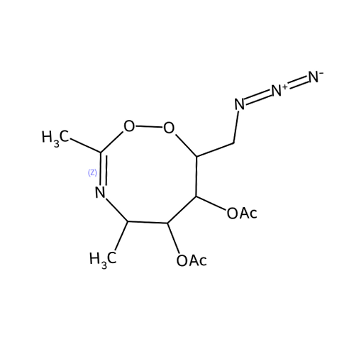 CC(=O)OC1C(C)/N=C(/C)OOC(CN=[N+]=[N-])C1OC(C)=O